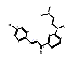 CN(C)CCN(C)c1cccc(C(=O)/C=C/c2ccc(O)cc2)c1